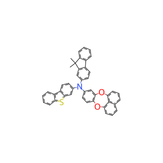 CC1(C)c2ccccc2-c2ccc(N(c3ccc4c(c3)Oc3cccc5cccc(c35)O4)c3ccc4c(c3)sc3ccccc34)cc21